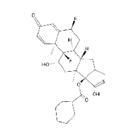 CC1C[C@H]2[C@@H]3C[C@H](F)C4=CC(=O)C=C[C@]4(C)[C@@]3(F)[C@@H](O)C[C@]2(C)[C@@]1(OC(=O)C1CCCCC1)C(O)=S